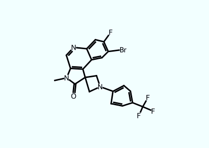 CN1C(=O)C2(CN(c3ccc(C(F)(F)F)cc3)C2)c2c1cnc1cc(F)c(Br)cc21